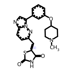 CN1CCC(Oc2cccc(-c3cnc4ccc(/C=C5\SC(=O)NC5=O)nn34)c2)CC1